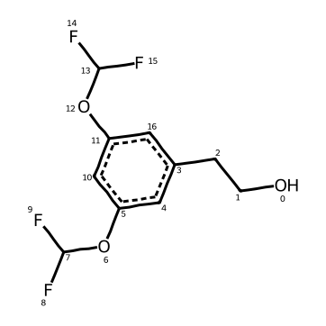 OCCc1cc(OC(F)F)cc(OC(F)F)c1